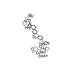 CC[C@@H](C)[CH]C(=O)N1[C@@H](C)CC[C@H]1c1nc2ccc3cc4c(cc3c2[nH]1)OCc1cc(-c2cnc([C@@H]3CC[C@H](C)N3C(=O)[C@@H](NC(=O)OC)C3C[C@@H](C)O[C@H](C)C3)[nH]2)ccc1-4